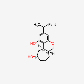 CCCC(C)C(C)c1cc(O)c2c(c1)OC[C@@H]1CCC[C@@H](O)C[C@@H]21